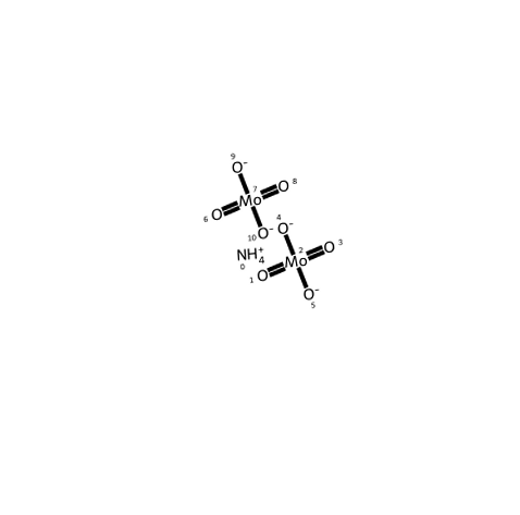 [NH4+].[O]=[Mo](=[O])([O-])[O-].[O]=[Mo](=[O])([O-])[O-]